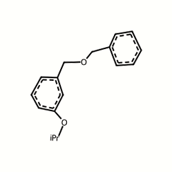 CC(C)Oc1cccc(COCc2ccccc2)c1